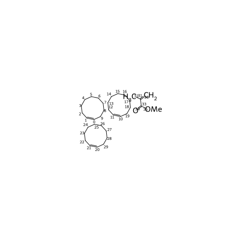 C1=C\CCCCCCCC/1.C1=C\CCCCCCCC/1.C1=C\CCCCCCCC/1.C=C(C)C(=O)OC